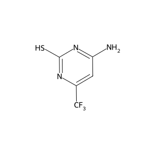 Nc1cc(C(F)(F)F)nc(S)n1